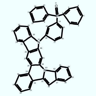 O=P(c1ccccc1)(c1ccccc1)c1cccc(-n2c3ccccc3c3cc4c5ccccc5c5cc6ccccc6n5c4cc32)c1